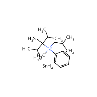 CC(C)C[N+](C)(c1ccccc1)C([SiH3])(C(C)C)C(C)C.[SnH4]